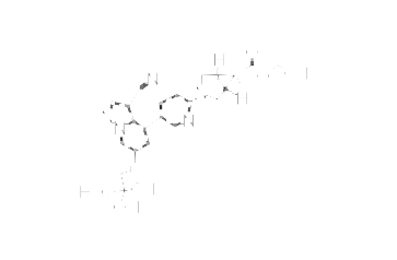 CCOC(=O)[C@H]1[C@@H]2CN(c3ccc(-c4cc(OCC(C)(C)O)cn5ncc(C#N)c45)cn3)C[C@@H]21